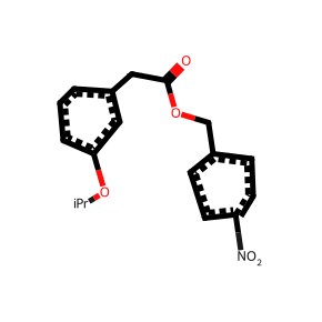 CC(C)Oc1cccc([CH]C(=O)OCc2ccc([N+](=O)[O-])cc2)c1